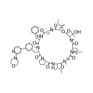 CCC(C)C1NC(=O)C2CCCN2C(=O)C(Cc2cccc(-c3ccnc(N4CCOCC4)c3)c2)N(C)C(=O)C(Cc2ccccc2)NC(=O)[C@H](C)N(C)C(=O)C([C@H](C)CC)OC(=O)C(C(C)(C)O)N(C)C(=O)C(CC(C)C)NC(=O)[C@H](C)N(C)C1=O